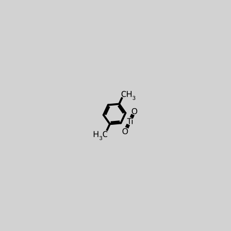 Cc1ccc(C)cc1.[O]=[Ti]=[O]